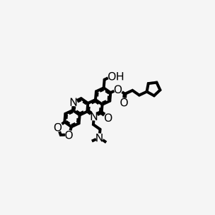 CN(C)CCn1c(=O)c2cc(OC(=O)CCC3CCCC3)c(CO)cc2c2cnc3cc4c(cc3c21)OCO4